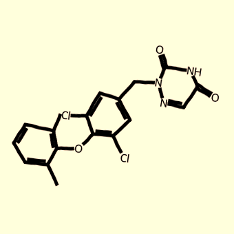 Cc1cccc(C)c1Oc1c(Cl)cc(Cn2ncc(=O)[nH]c2=O)cc1Cl